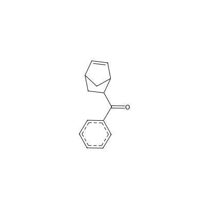 O=C(c1ccccc1)C1CC2C=CC1C2